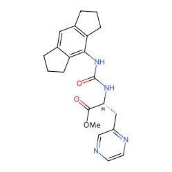 COC(=O)[C@@H](Cc1cnccn1)NC(=O)Nc1c2c(cc3c1CCC3)CCC2